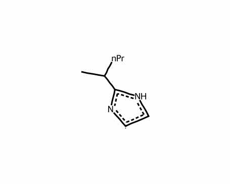 CCCC(C)c1n[c]c[nH]1